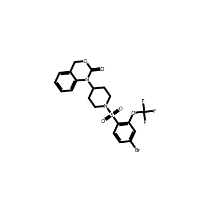 O=C1OCc2ccccc2N1C1CCN(S(=O)(=O)c2ccc(Br)cc2OC(F)(F)F)CC1